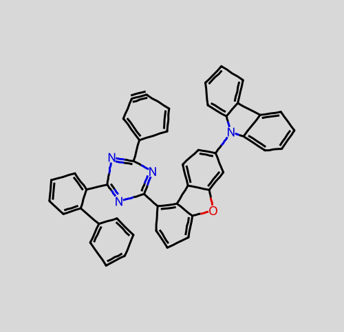 c1ccc(-c2nc(-c3ccccc3-c3ccccc3)nc(-c3cccc4oc5cc(-n6c7ccccc7c7ccccc76)ccc5c34)n2)cc#1